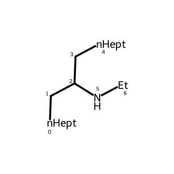 CCCCCCCCC(CCCCCCCC)NCC